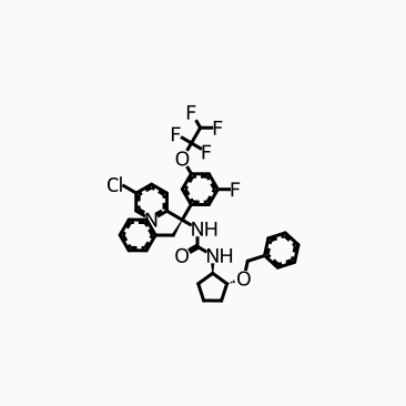 O=C(N[C@@H]1CCC[C@H]1OCc1ccccc1)N[C@@](Cc1ccccc1)(c1cc(F)cc(OC(F)(F)C(F)F)c1)c1ccc(Cl)cn1